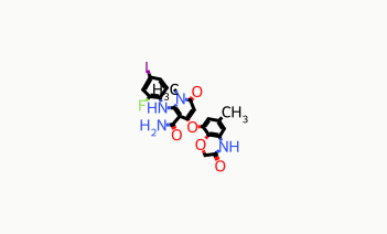 Cc1cc2c(c(Oc3cc(=O)n(C)c(Nc4ccc(I)cc4F)c3C(N)=O)c1)OCC(=O)N2